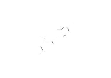 CC1(C)C(C=C(Cl)Cl)C1C(=O)OCc1c(F)cc(F)cc1F